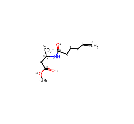 C=CCCCC(=O)N[C@@H](CC(=O)OC(C)(C)C)C(=O)O